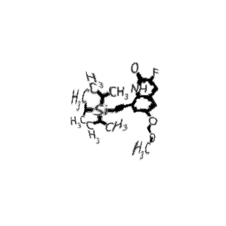 COCOc1cc(C#C[Si](C(C)C)(C(C)C)C(C)C)c2[nH]c(=O)c(F)cc2c1